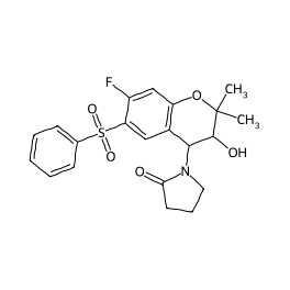 CC1(C)Oc2cc(F)c(S(=O)(=O)c3ccccc3)cc2C(N2CCCC2=O)C1O